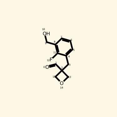 O=CC1(Cc2cccc(CO)c2F)COC1